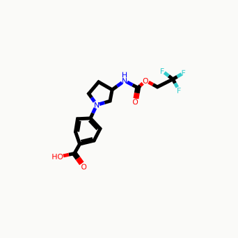 O=C(NC1CCN(c2ccc(C(=O)O)cc2)C1)OCC(F)(F)F